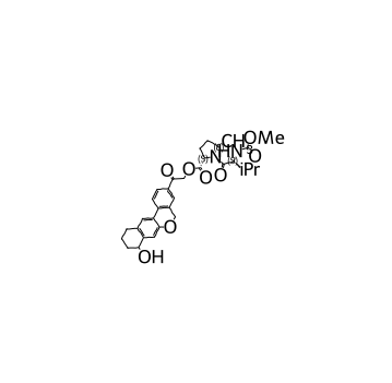 COC(=O)N[C@H](C(=O)N1[C@@H](C)CC[C@H]1C(=O)OCC(=O)c1ccc2c(c1)COc1cc3c(cc1-2)CCCC3O)C(C)C